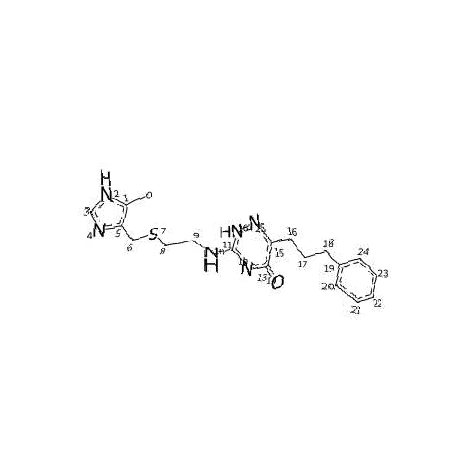 Cc1[nH]cnc1CSCCNc1nc(=O)c(CCCc2ccccc2)n[nH]1